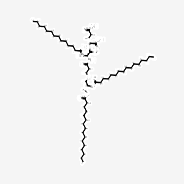 CCCCCCCCCCCCCCCC(=O)OC[C@H](CSCCC(=O)N[C@@H](NC(=O)CCCCCCCCCCCCC)C(=O)N[C@H](CCC(=O)O)C(=O)O)OC(=O)CCCCCCCCCCCCCCC